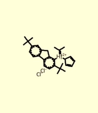 C[C](C)=[Hf+2]([c]1c(C(C)(C)C)ccc2c1Cc1cc(C(C)(C)C)ccc1-2)[CH]1C=CC=C1.[Cl-].[Cl-]